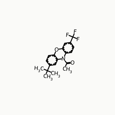 CC(=O)N1c2ccc(C(F)(F)F)cc2Oc2ccc(C(C)(C)C)cc21